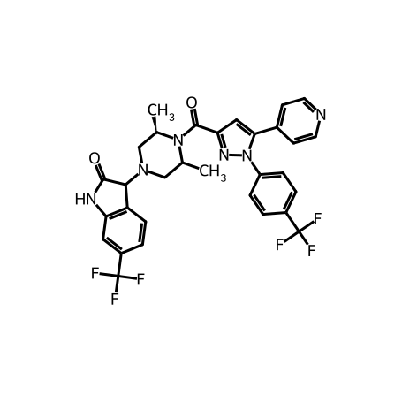 CC1CN(C2C(=O)Nc3cc(C(F)(F)F)ccc32)C[C@@H](C)N1C(=O)c1cc(-c2ccncc2)n(-c2ccc(C(F)(F)F)cc2)n1